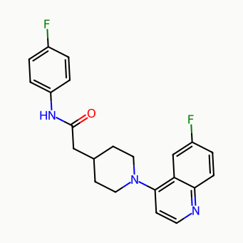 O=C(CC1CCN(c2ccnc3ccc(F)cc23)CC1)Nc1ccc(F)cc1